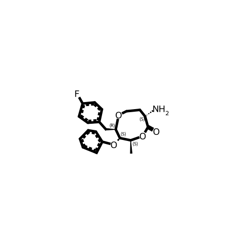 C[C@@H]1OC(=O)[C@@H](N)CCO[C@H](Cc2ccc(F)cc2)[C@H]1Oc1ccccc1